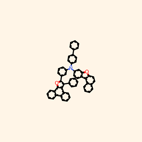 c1ccc(-c2ccc(N(c3cccc(-c4oc5c6ccccc6c6ccccc6c5c4-c4ccccc4)c3)c3ccc4c(c3)oc3ccc5ccccc5c34)cc2)cc1